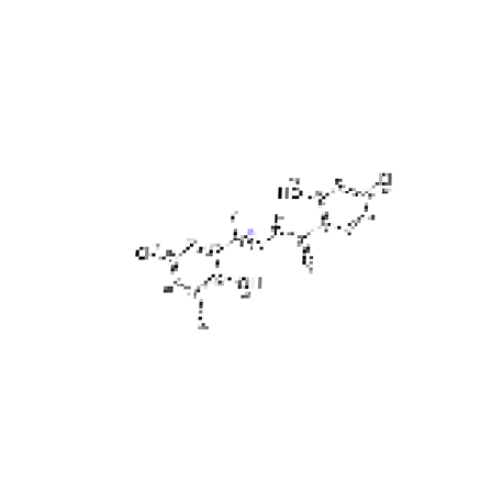 C/C(=N\NC(=O)c1ccc(Cl)cc1O)c1cc(Cl)cc(Cl)c1O